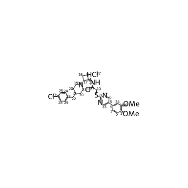 COc1ccc(-c2cnc(SCC(=O)N[C@@H]3CC[C@H]3N3CCC(Cc4ccc(Cl)cc4)CC3)nc2)cc1OC.Cl